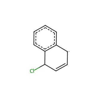 ClC1C=C[CH]c2ccccc21